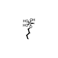 CCCCOP(C)(O)(O)O